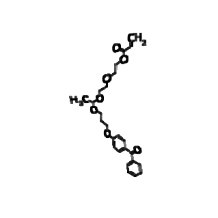 C=CC(=O)OCCOCCOC(C)OCCCOc1ccc(C(=O)c2ccccc2)cc1